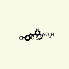 O=S(=O)(O)N1CCSc2c(-c3cc4cc(Cl)ccc4o3)cncc21